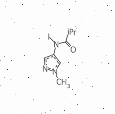 CC(C)C(=O)N(I)c1cnn(C)c1